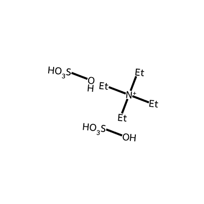 CC[N+](CC)(CC)CC.O=S(=O)(O)O.O=S(=O)(O)O